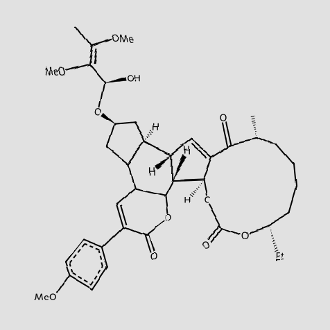 CC[C@H]1CCCC[C@@H](C)C(=O)C2=C[C@@H]3[C@@H](C4OC(=O)C(c5ccc(OC)cc5)=CC4C4C[C@@H](O[C@H](O)/C(OC)=C(/C)OC)C[C@H]43)[C@@H]2CC(=O)O1